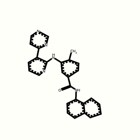 Cc1ccc(C(=O)Nc2cccc3ccccc23)cc1Nc1ncccc1-c1ccncn1